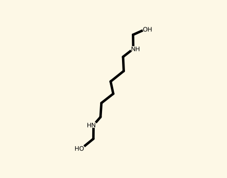 OCNCCCCCCNCO